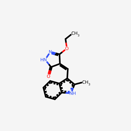 CCOC1=NNC(=O)C1=Cc1c(C)[nH]c2ccccc12